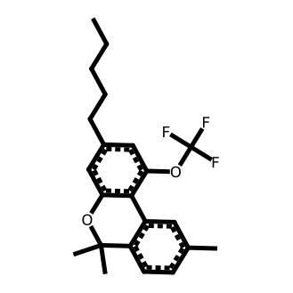 CCCCCc1cc(OC(F)(F)F)c2c(c1)OC(C)(C)c1ccc(C)cc1-2